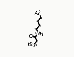 CC(=O)CCCCNC(=O)CC(C)(C)C